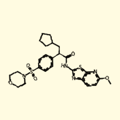 COc1ccc2nc(NC(=O)C(CC3CCCC3)c3ccc(S(=O)(=O)N4CCOCC4)cc3)sc2n1